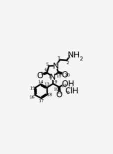 Cl.NCCN1CC(=O)N(C(C(=O)O)c2ccccc2)C1=O